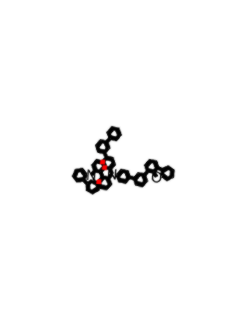 c1ccc(-c2cccc(-c3ccc(N(c4ccc(-c5cccc(-c6cccc7c6oc6ccccc67)c5)cc4)c4ccccc4-c4ccccc4-n4c5ccccc5c5ccccc54)cc3)c2)cc1